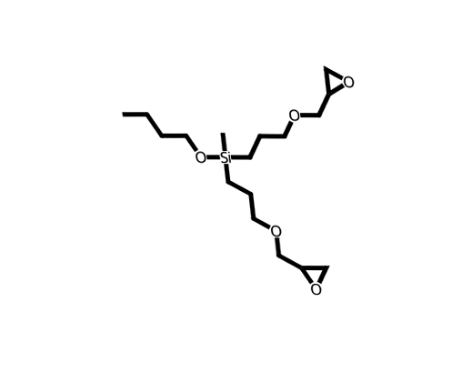 CCCCO[Si](C)(CCCOCC1CO1)CCCOCC1CO1